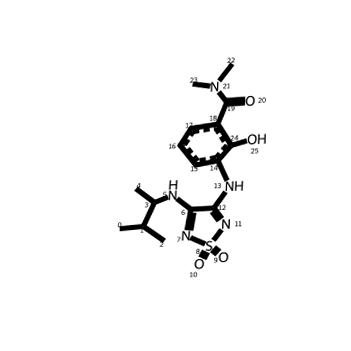 CC(C)C(C)NC1=NS(=O)(=O)N=C1Nc1cccc(C(=O)N(C)C)c1O